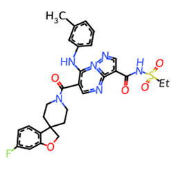 CCS(=O)(=O)NC(=O)c1cnn2c(Nc3cccc(C)c3)c(C(=O)N3CCC4(CC3)COc3cc(F)ccc34)cnc12